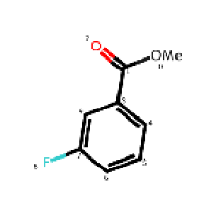 COC(=O)c1c[c]cc(F)c1